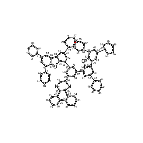 c1ccc(-c2cc(-c3ccccc3)c3oc4c(-c5cc(-c6cnc7c8ccccc8c8ccccc8c7n6)cc(-c6cc(-c7ccccc7)cc7c6oc6c(-c8ccccc8)cc(-c8ccccc8)cc67)c5)cc(-c5ccccc5)cc4c3c2)cc1